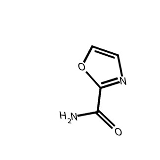 NC(=O)c1ncco1